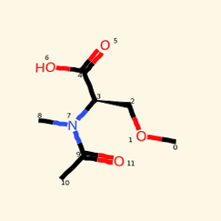 COC[C@H](C(=O)O)N(C)C(C)=O